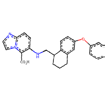 O=C(O)c1c(NCC2CCCc3cc(Oc4ccccc4)ccc32)ccc2nccn12